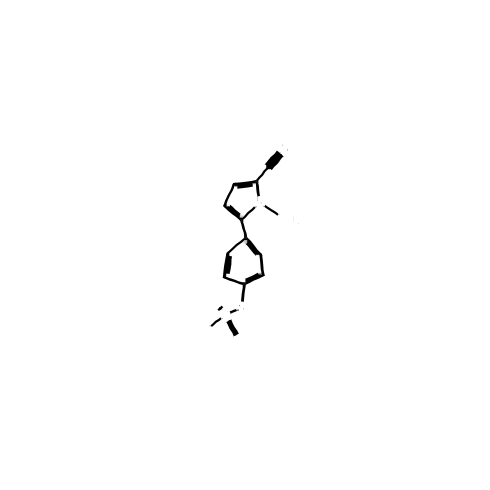 Cn1c(C#N)ccc1-c1ccc(NS(C)(=O)=O)cc1